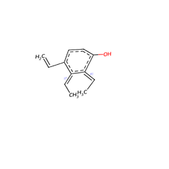 C=Cc1ccc(O)c(=C/C)/c1=C\C